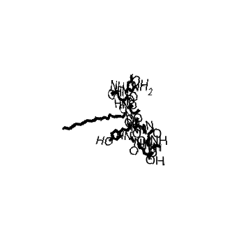 CCCCCCCCCCCCCCC(=O)NC(C(=O)NC(CCC(N)=O)C(=O)NC(CC(C)=O)C(N)=O)C(C)OC(=O)C(NC(=O)C(Cc1ccc(O)cc1)NC(=O)CNC(=O)C(CC(=O)O)NC(=O)C(CC(N)=O)NC(C)=O)C(C)C